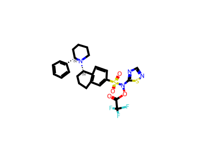 O=C(ON(c1ncns1)S(=O)(=O)c1ccc2c(c1)CCC[C@@H]2N1CCCC[C@H]1c1ccccc1)C(F)(F)F